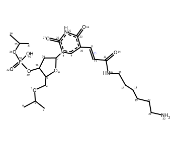 CC(C)OCC1OC(n2cc(/C=C/C(=O)NCCCCCCN)c(=O)[nH]c2=O)CC1OP(=O)(O)OC(C)C